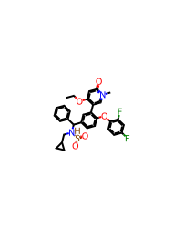 CCOc1cc(=O)n(C)cc1-c1cc(C(c2ccccc2)N(CC2CC2)[SH](=O)=O)ccc1Oc1ccc(F)cc1F